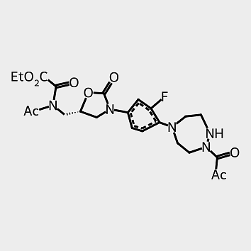 CCOC(=O)C(=O)N(C[C@H]1CN(c2ccc(N3CCNN(C(=O)C(C)=O)CC3)c(F)c2)C(=O)O1)C(C)=O